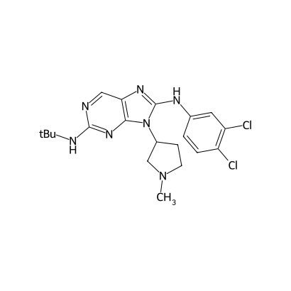 CN1CCC(n2c(Nc3ccc(Cl)c(Cl)c3)nc3cnc(NC(C)(C)C)nc32)C1